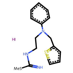 CSC(=N)NCCN(Cc1cccs1)c1ccccc1.I